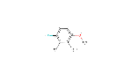 CCc1c(F)ccc(OC#N)c1C=O